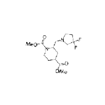 COC(=O)C1CCN(C(=O)OC)C(CN2CCC(F)(F)C2)C1